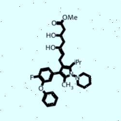 COC(=O)CC(O)CC(O)=CCc1c(-c2ccc(F)c(Oc3ccccc3)c2)c(C)n(N2CCCCC2)c1C(C)C